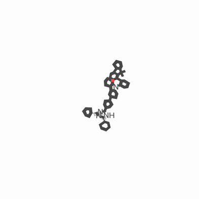 CC1(C)C2=C(c3ccccc3-n3c4ccccc4c4cc(-c5ccc(C6N[C@@H](C7CC=CCC7)[N@]7[C@H](c8ccccc8)N67)cc5)ccc43)CCC=C2c2ccccc21